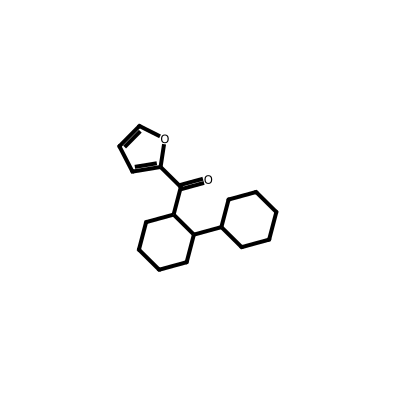 O=C(c1ccco1)C1CCCCC1C1CCCCC1